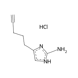 C#CCCCc1c[nH]c(N)n1.Cl